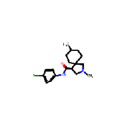 CC1CCC2(CC1)CN(C)CC2C(=O)Nc1ccc(F)cc1